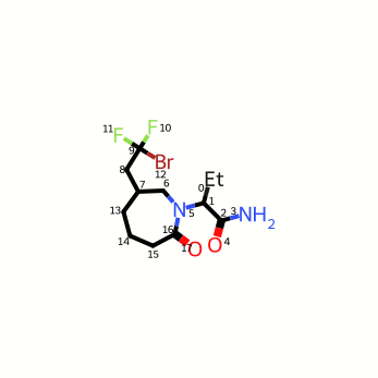 CCC(C(N)=O)N1CC(CC(F)(F)Br)CCCC1=O